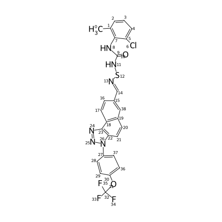 Cc1cccc(Cl)c1NC(=O)NS/N=C/c1ccc2c(ccc3c2nnn3-c2ccc(OC(F)(F)F)cc2)c1